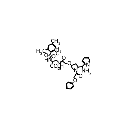 Cc1cc(C)c(S(=O)(=O)NC(CNC(=O)COC2CC(C(N)c3ccccn3)N(C(=O)COc3ccccc3)C2)C(=O)O)c(C)c1